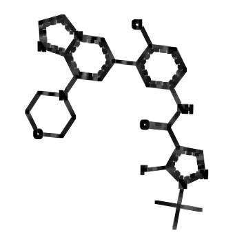 CC(C)(C)n1ncc(C(=O)Nc2ccc(Cl)c(-c3cc(N4CCOCC4)c4nccn4c3)c2)c1F